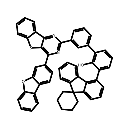 Oc1c(-c2cccc(-c3nc(-c4ccc5c(c4)oc4ccccc45)c4sc5ccccc5c4n3)c2)cccc1-c1cccc2c1-c1ccccc1C21CCCCC1